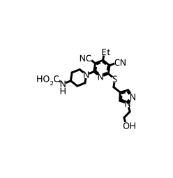 CCc1c(C#N)c(SCc2cnn(CCO)c2)nc(N2CCC(NC(=O)O)CC2)c1C#N